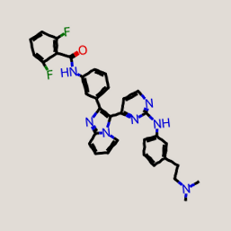 CN(C)CCc1cccc(Nc2nccc(-c3c(-c4cccc(NC(=O)c5c(F)cccc5F)c4)nc4ccccn34)n2)c1